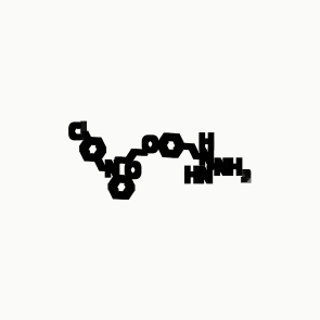 N=C(N)NCCc1ccc(OCCC2CN(Cc3ccc(Cl)cc3)c3ccccc3O2)cc1